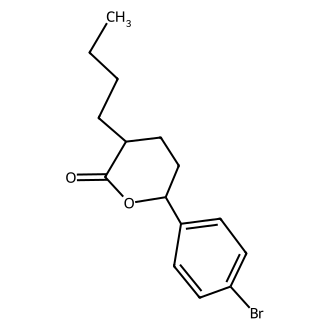 CCCCC1CCC(c2ccc(Br)cc2)OC1=O